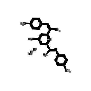 CC(=Nc1ccc(C)cc1)c1cc(C)cc(C(C)=Nc2ccc(C)cc2)n1.[Cl-].[Cl-].[Fe+2]